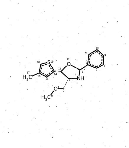 COC[C@H]1NC(c2ccccc2)O[C@H]1c1cc(C)cs1